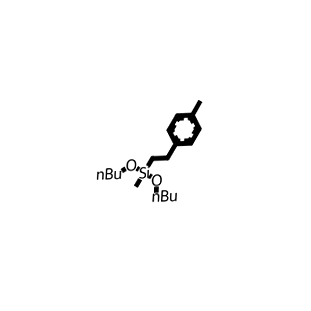 CCCCO[Si](C)(CCc1ccc(C)cc1)OCCCC